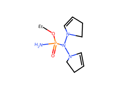 CCOP(N)(=O)N(N1C=CCC1)N1C=CCC1